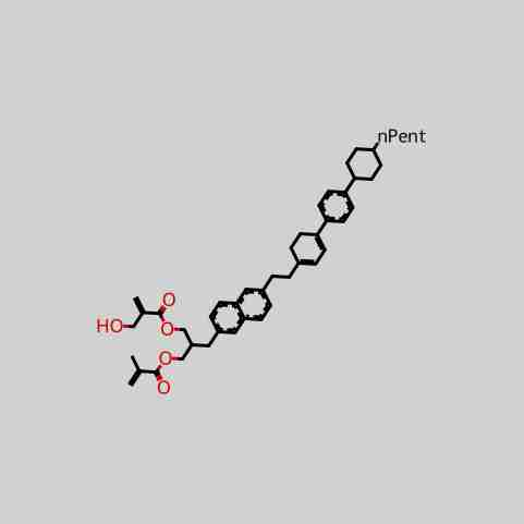 C=C(C)C(=O)OCC(COC(=O)C(=C)CO)Cc1ccc2cc(CCC3=CC=C(c4ccc(C5CCC(CCCCC)CC5)cc4)CC3)ccc2c1